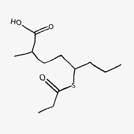 CCCC(CCC(C)C(=O)O)SC(=O)CC